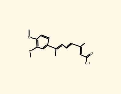 COc1ccc(C(C)=CC=CC(C)=CC(=O)O)cc1OC